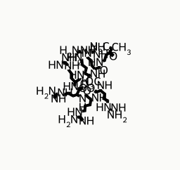 CNC(CCCNC(=N)N)C(=O)NC(CCCNC(=N)N)C(=O)NC(CCCNC(=N)N)C(=O)NC(CCCNC(=N)N)C(=O)NC(CCCNC(=N)N)C(=O)NC(CCCNC(=N)N)C(=O)NCCC(=O)C(C)C